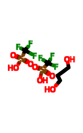 O=S(=O)(O)C(F)(F)F.O=S(=O)(O)C(F)(F)F.OCCCO